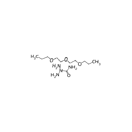 CCCOCCOCCOCCC.NC(=O)N(N)N